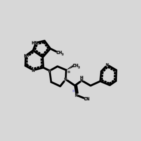 Cc1c[nH]c2ncnc(N3CCN(/C(=N/C#N)NCc4cccnc4)[C@@H](C)C3)c12